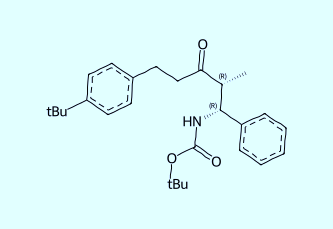 C[C@@H](C(=O)CCc1ccc(C(C)(C)C)cc1)[C@@H](NC(=O)OC(C)(C)C)c1ccccc1